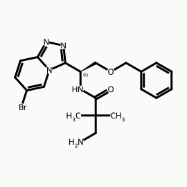 CC(C)(CN)C(=O)N[C@H](COCc1ccccc1)c1nnc2ccc(Br)cn12